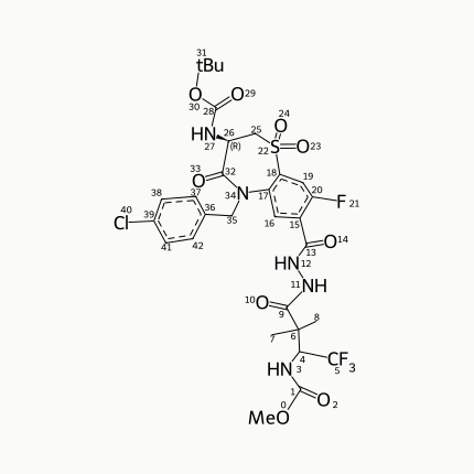 COC(=O)NC(C(F)(F)F)C(C)(C)C(=O)NNC(=O)c1cc2c(cc1F)S(=O)(=O)C[C@H](NC(=O)OC(C)(C)C)C(=O)N2Cc1ccc(Cl)cc1